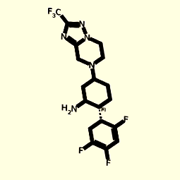 NC1CC(N2CCn3nc(C(F)(F)F)nc3C2)CC[C@@H]1C1CC(F)=C(F)C=C1F